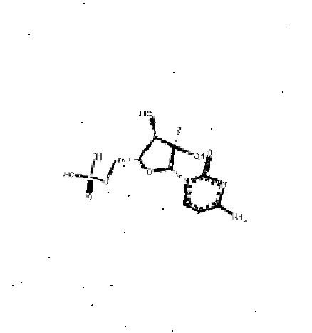 C[C@@]1(O)[C@H](O)[C@@H](COP(=O)(O)O)O[C@H]1n1ccc(N)nc1=O